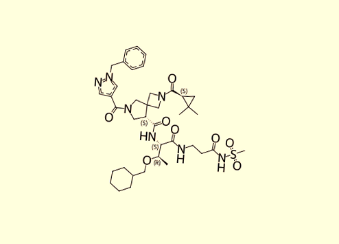 C[C@@H](OCC1CCCCC1)[C@H](NC(=O)[C@@H]1CN(C(=O)c2cnn(Cc3ccccc3)c2)CC12CN(C(=O)[C@H]1CC1(C)C)C2)C(=O)NCCC(=O)NS(C)(=O)=O